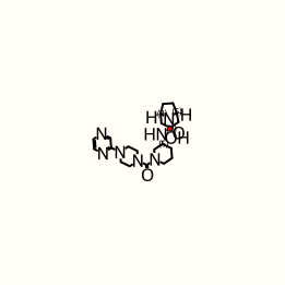 O=C(N1CCN(c2cnccn2)CC1)N1CCC[C@H](NC(=O)N2[C@@H]3CC[C@H]2C[C@@H](O)C3)C1